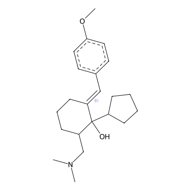 COc1ccc(/C=C2\CCCC(CN(C)C)C2(O)C2CCCC2)cc1